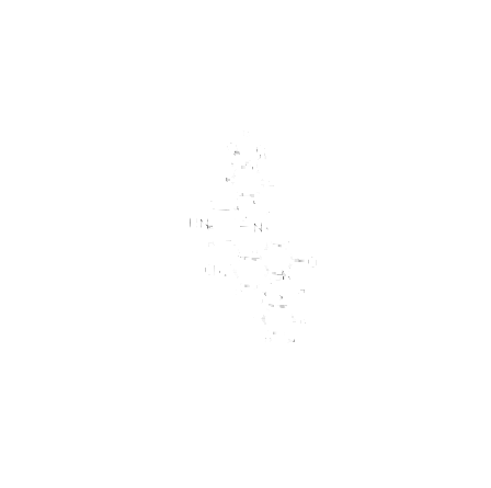 O=c1cc(N(Cc2ccc3c(c2)OCO3)C2CCNCC2)c2cc(Cl)ccc2n1Cc1ccccc1